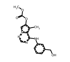 COC(=O)Oc1cn2ncnc(Nc3cccc(CO)c3)c2c1C